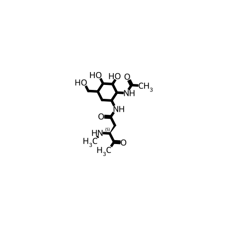 CN[C@@H](CC(=O)NC1CC(CO)C(O)C(O)C1NC(C)=O)C(C)=O